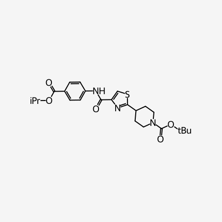 CC(C)OC(=O)c1ccc(NC(=O)c2csc(C3CCN(C(=O)OC(C)(C)C)CC3)n2)cc1